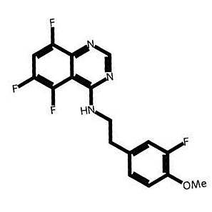 COc1ccc(CCNc2ncnc3c(F)cc(F)c(F)c23)cc1F